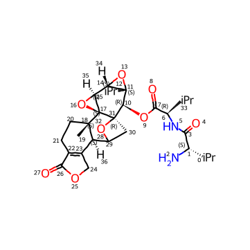 CC(C)[C@H](N)C(=O)N[C@@H](C(=O)O[C@@H]1[C@@]2(C(C)C)O[C@H]2[C@@H]2O[C@@]23[C@@]2(C)CCC4=C(COC4=O)[C@@H]2C2C[C@@]13O2)C(C)C